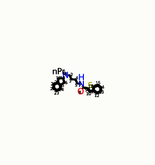 CCCN(CCCCNC(=O)c1cc2ccccc2s1)C1Cc2ccccc2C1